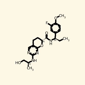 CC[C@@H](NC(=O)[C@H]1CCc2cnc(N[C@@H](C)CO)nc2O1)c1ccc(OC)c(F)c1